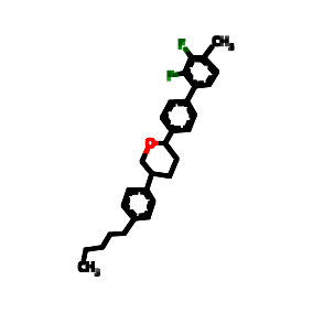 CCCCCc1ccc(C2CCC(c3ccc(-c4ccc(C)c(F)c4F)cc3)OC2)cc1